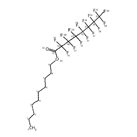 CCCCCCCCCCOC(=O)C(F)(F)C(F)(F)C(F)(F)C(F)(F)C(F)(F)C(F)(F)C(F)(F)F